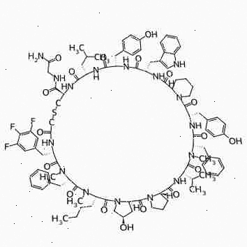 CCCC[C@H]1C(=O)N2C[C@H](O)C[C@@H]2C(=O)N2CCC[C@H]2C(=O)N[C@@H](C(C)C)C(=O)N(C)[C@@H](Cc2ccccc2)C(=O)N[C@@H](Cc2ccc(O)cc2)C(=O)N2CCCC[C@@H]2C(=O)N[C@@H](Cc2c[nH]c3ccccc23)C(=O)N[C@@H](Cc2ccc(O)cc2)C(=O)N[C@@H](CC(C)C)C(=O)N[C@H](C(=O)NCC(N)=O)CSCC(=O)N[C@@H](Cc2cc(F)c(F)c(F)c2)C(=O)N(C)[C@@H](Cc2ccccc2)C(=O)N1C